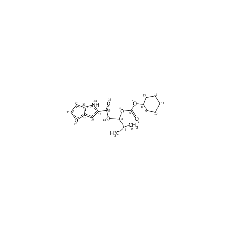 CC(C)C(OC(=O)OC1CCCCC1)OC(=O)c1cc2occc2[nH]1